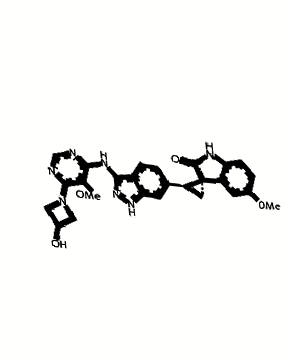 COc1ccc2c(c1)[C@]1(C[C@H]1c1ccc3c(Nc4ncnc(N5CC(O)C5)c4OC)n[nH]c3c1)C(=O)N2